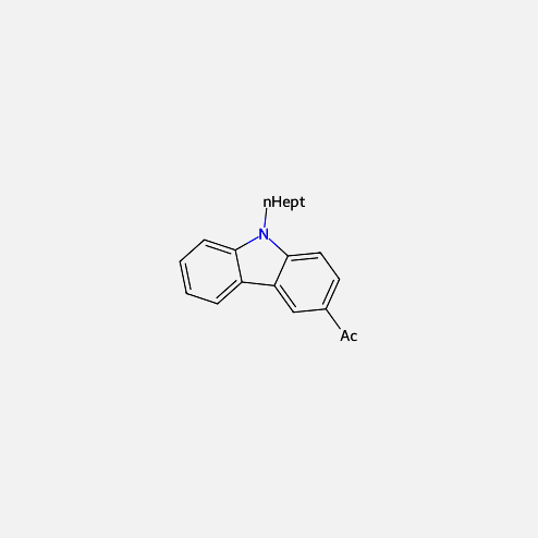 CCCCCCCn1c2ccccc2c2cc(C(C)=O)ccc21